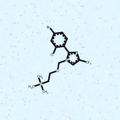 CS(C)(C)CCOCn1cc(C(F)(F)F)nc1-c1ccc(Br)cc1Cl